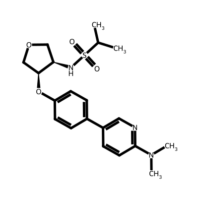 CC(C)S(=O)(=O)N[C@@H]1COC[C@@H]1Oc1ccc(-c2ccc(N(C)C)nc2)cc1